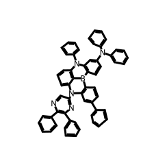 c1ccc(-c2ccc3c(c2)N(c2cnc(-c4ccccc4)c(-c4ccccc4)n2)c2cccc4c2B3c2ccc(N(c3ccccc3)c3ccccc3)cc2N4c2ccccc2)cc1